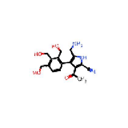 CC(=O)c1c(C#N)[nH]c(CN)c1-c1ccc(CO)c(CO)c1CO